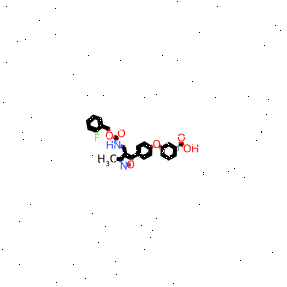 Cc1noc(-c2ccc(O[C@@H]3CCC[C@@H](C(=O)O)C3)cc2)c1CNC(=O)OCc1ccccc1F